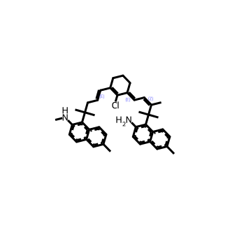 CNc1ccc2cc(C)ccc2c1C(C)(C)C/C=C/C1=C(Cl)C(=C/C=C(/C)C(C)(C)c2c(N)ccc3cc(C)ccc23)/CCC1